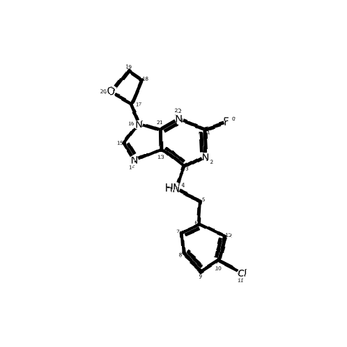 Fc1nc(NCc2cccc(Cl)c2)c2ncn(C3CCO3)c2n1